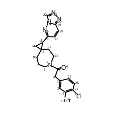 CC(C)c1cc(CC(=O)N2CCCC3(CC2)CC3c2ccc3nncn3n2)ccc1Cl